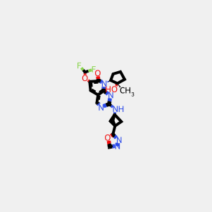 C[C@@]1(O)CCC[C@H]1n1c(=O)c(OC(F)F)cc2cnc(NC34CC(c5nnco5)(C3)C4)nc21